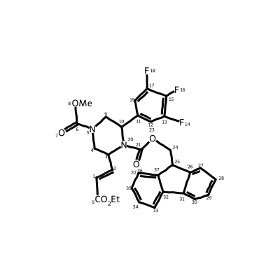 CCOC(=O)C=CC1CN(C(=O)OC)CC(c2cc(F)c(F)c(F)c2)N1C(=O)OCC1c2ccccc2-c2ccccc21